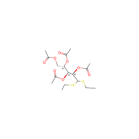 CCSC(SCC)[C@H](OC(C)=O)[C@@H](OC(C)=O)[C@H](COC(C)=O)OC(C)=O